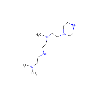 CN(C)CCNCCN(C)CCN1CCNCC1